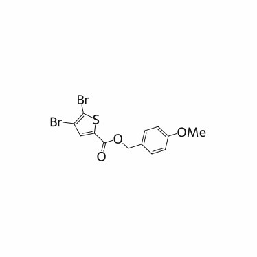 COc1ccc(COC(=O)c2cc(Br)c(Br)s2)cc1